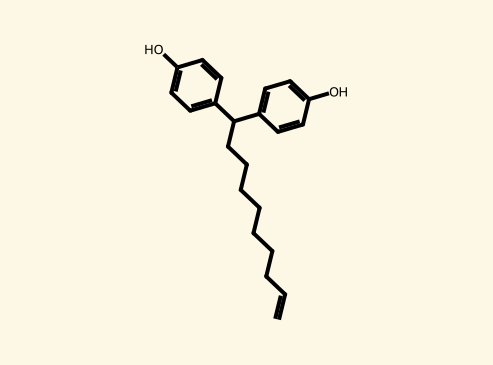 C=CCCCCCCCC(c1ccc(O)cc1)c1ccc(O)cc1